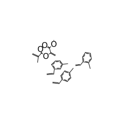 C=C(C)C(=O)OC(=C)C(=O)OC.C=Cc1ccc(C)cc1.C=Cc1cccc(C)c1.C=Cc1ccccc1C